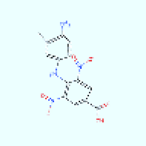 Cc1cc(Nc2c([N+](=O)[O-])cc(C(=O)O)cc2[N+](=O)[O-])ccc1N